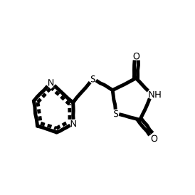 O=C1NC(=O)C(Sc2ncccn2)S1